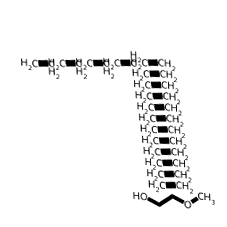 C=C.C=C.C=C.C=C.C=C.C=C.C=C.C=C.C=C.C=C.C=C.C=C.C=C.C=C.C=C.C=C.COCCO